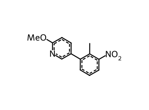 COc1ccc(-c2cccc([N+](=O)[O-])c2C)cn1